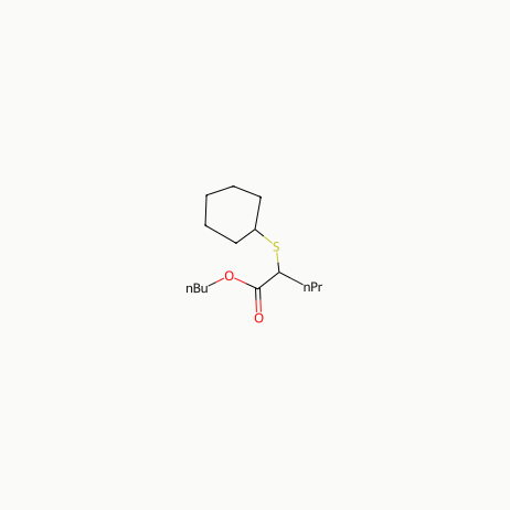 CCCCOC(=O)C(CCC)SC1CCCCC1